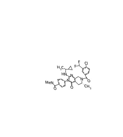 CNC(=O)c1ccc(-n2c(NC(C)C3CC3)nc3c(c2=O)C[C@@H](C)N(C(=O)c2ccc(Cl)c(C(F)F)c2)C3)cc1